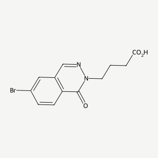 O=C(O)CCCn1ncc2cc(Br)ccc2c1=O